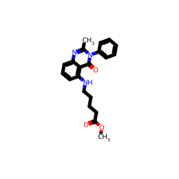 COC(=O)CCCCNc1cccc2nc(C)n(-c3ccccc3)c(=O)c12